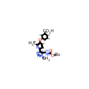 CC[C@H](C)OC(=O)NCc1c(-c2ccc(O[C@H]3CCC[C@H](C(=O)O)C3)c(C)n2)nnn1C